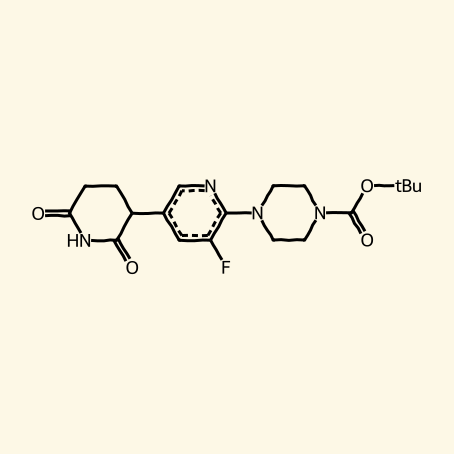 CC(C)(C)OC(=O)N1CCN(c2ncc(C3CCC(=O)NC3=O)cc2F)CC1